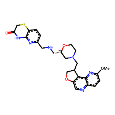 COc1ccc2ncc3c(c2n1)C(CN1CCO[C@@H](CNCc2ccc4c(n2)NC(=O)CS4)C1)CO3